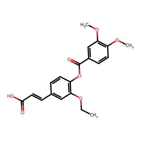 CCOc1cc(/C=C/C(=O)O)ccc1OC(=O)c1ccc(OC)c(OC)c1